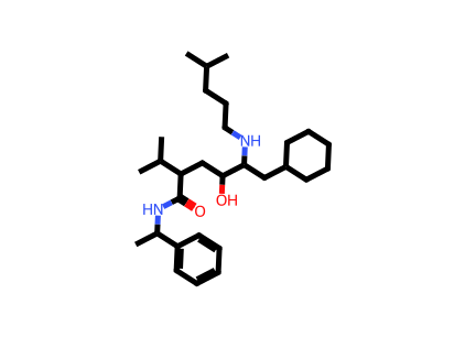 CC(C)CCCNC(CC1CCCCC1)C(O)CC(C(=O)NC(C)c1ccccc1)C(C)C